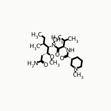 CC[C@H](C)[C@@H]([C@@H](CC(N)=O)OC)N(C)C(=O)[C@@H](NC(=O)[C@@H]1CCCN(C)C1)C(C)C